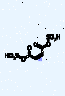 O=C(/C=C\C(=O)OS(=O)(=O)O)OS(=O)(=O)O